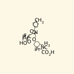 Cc1ccc(-c2nc(COC3CCCC(CN(C)[C@H](C(=O)O)C(C)C)C3)c(C)o2)cc1.O=C(O)C(F)(F)F